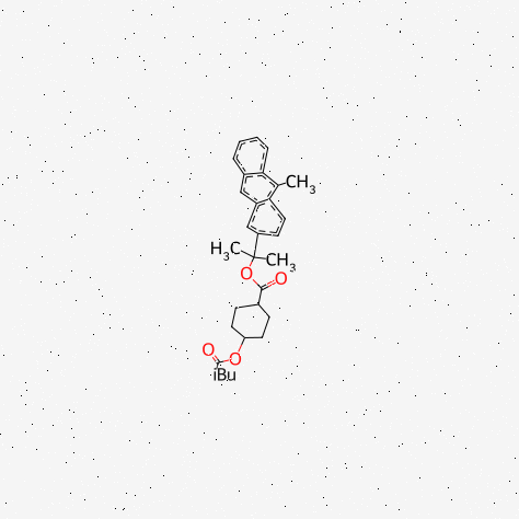 CCC(C)C(=O)OC1CCC(C(=O)OC(C)(C)c2ccc3c(C)c4ccccc4cc3c2)CC1